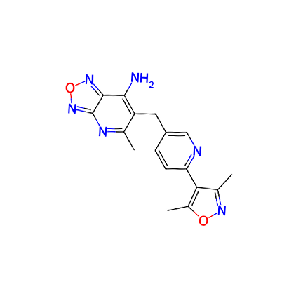 Cc1nc2nonc2c(N)c1Cc1ccc(-c2c(C)noc2C)nc1